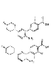 Cc1c(-c2nc([C@H]3CC[C@H](F)CC3)cnc2N)ccc(C(=O)O)c1F.Nc1ncc([C@H]2CC[C@H](F)CC2)nc1-c1ccc(C(=O)O)c(F)c1